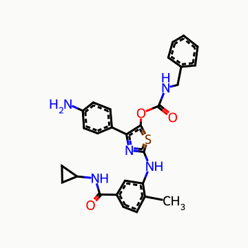 Cc1ccc(C(=O)NC2CC2)cc1Nc1nc(-c2ccc(N)cc2)c(OC(=O)NCc2ccccc2)s1